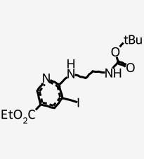 CCOC(=O)c1cnc(NCCNC(=O)OC(C)(C)C)c(I)c1